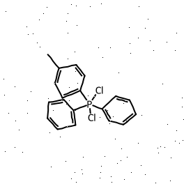 Cc1ccc(P(Cl)(Cl)(c2ccccc2)c2ccccc2)cc1